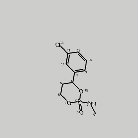 CNP1(=O)OCCC(c2cccc(Cl)c2)O1